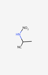 CC(C#N)N[N+](=O)[O-]